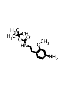 COc1cc(N)ccc1CCNC(=O)OC(C)(C)C